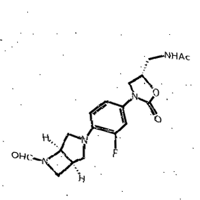 CC(=O)NC[C@H]1CN(c2ccc(N3C[C@H]4CN(C=O)[C@H]4C3)c(F)c2)C(=O)O1